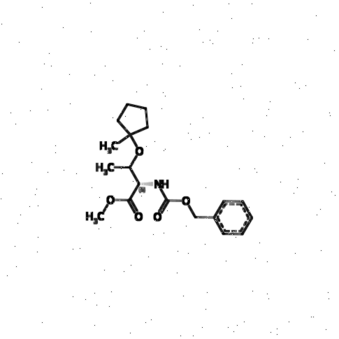 COC(=O)[C@@H](NC(=O)OCc1ccccc1)C(C)OC1(C)CCCC1